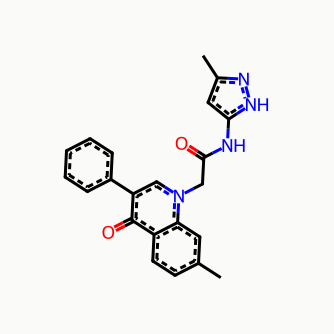 Cc1ccc2c(=O)c(-c3ccccc3)cn(CC(=O)Nc3cc(C)n[nH]3)c2c1